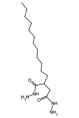 CCCCCCCCCCCCC(CC(=O)NN)C(=O)NN